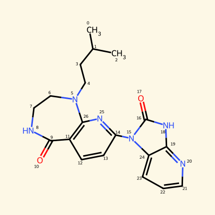 CC(C)CCN1CCNC(=O)c2ccc(-n3c(=O)[nH]c4ncccc43)nc21